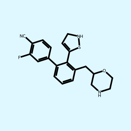 N#Cc1ccc(-c2cccc(CC3CNCCO3)c2C2=CCNS2)cc1F